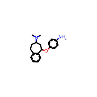 CN(C)C1CCc2ccccc2C(Oc2ccc(N)cc2)C1